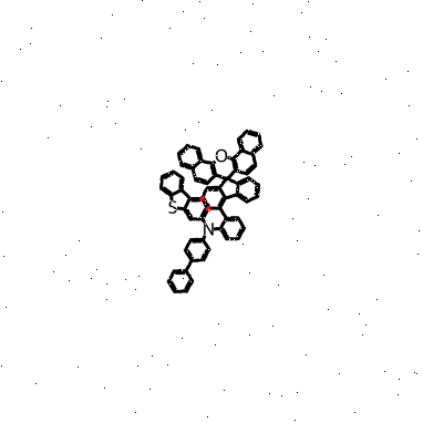 c1ccc(-c2ccc(N(c3ccc4c(c3)sc3ccccc34)c3ccccc3-c3cccc4c3-c3ccccc3C43c4ccc5ccccc5c4Oc4c3ccc3ccccc43)cc2)cc1